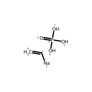 C=[CH][Na].O=P(O)(O)O